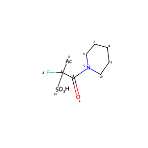 CC(=O)C(F)(C(=O)N1CCCCC1)S(=O)(=O)O